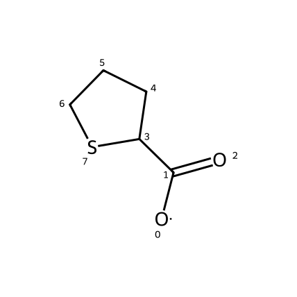 [O]C(=O)C1CCCS1